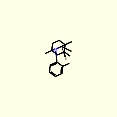 Cc1ccccc1N1[C@@H](C)C2(C)CCC1(C)CC2C